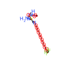 CCCN(CCCNC(=O)OC1CCC1)C(=O)C1=Cc2sc(CCC3CCN(CCOCCOCCOCCOCCOCCOCCOCCOCCOCCOCCC(=O)Oc4c(F)c(F)cc(F)c4F)CC3)cc2N=C(N)C1